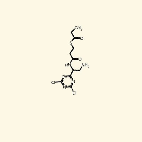 CCC(=O)SCCC(=O)NC(CN)c1nc(Cl)nc(Cl)n1